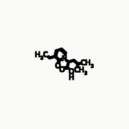 CCc1cccn(C(CC(C)C)C(=O)O)c1=O